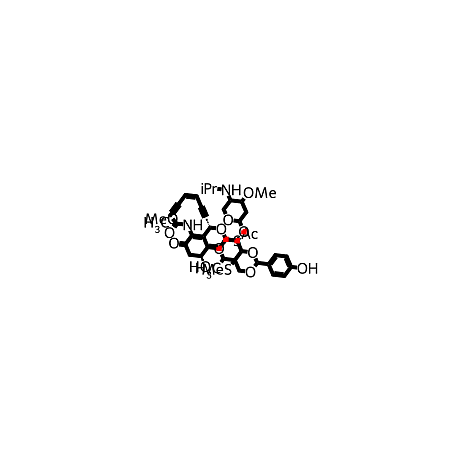 CC#C/C=C\C#C[C@H](OC1OC(C)C2(SC)COC(c3ccc(O)cc3)OC2C1OC1CC(OC)C(NC(C)C)CO1)C1=C(NC(=O)OC)C(=O)C[C@H](O)/C1=C/CSC(C)=O